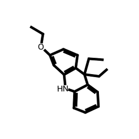 CCOc1ccc2c(c1)Nc1ccccc1C2(CC)CC